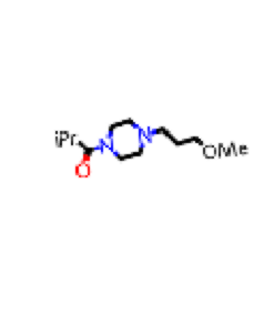 COCCCN1CCN(C(=O)C(C)C)CC1